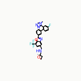 Cn1cnnc1-c1cc(F)ccc1-c1cccc(-c2nc3cc(CNC[C@@]4(C)CCO4)cc(C(F)(F)F)c3o2)c1